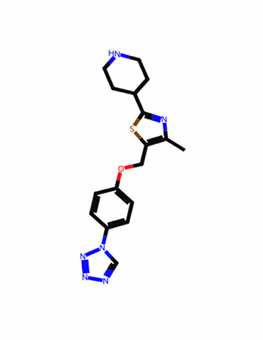 Cc1nc(C2CCNCC2)sc1COc1ccc(-n2cnnn2)cc1